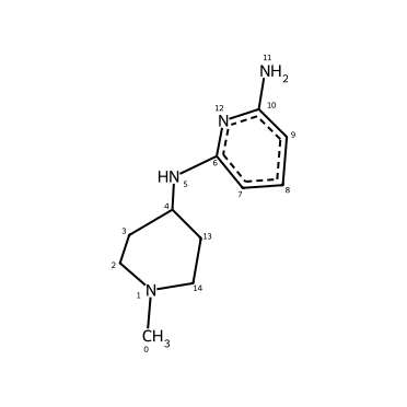 CN1CCC(Nc2cccc(N)n2)CC1